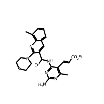 CCOC(=O)/C=C/c1c(C)nc(N)nc1NC(CC)c1cc2cccc(C)c2nc1N1CCSCC1